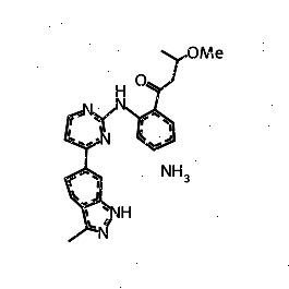 COC(C)CC(=O)c1ccccc1Nc1nccc(-c2ccc3c(C)n[nH]c3c2)n1.N